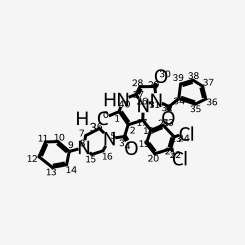 CC1=C(C(=O)N2CCN(c3ccccc3)CC2)C(c2ccc(Cl)c(Cl)c2)n2c(cc(=O)n2C(=O)c2ccccc2)N1